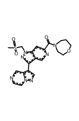 CS(=O)(=O)Cn1nc(-c2cnn3ccncc23)c2cnc(C(=O)N3CCCOCC3)cc21